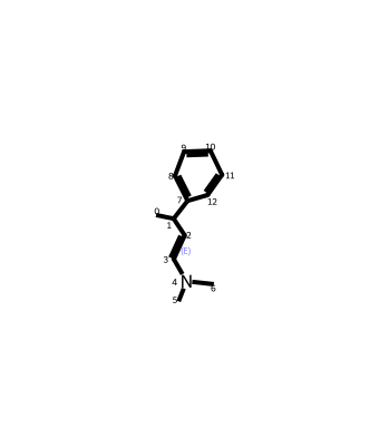 CC(/C=C/N(C)C)c1ccccc1